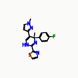 Cn1ccc(C2=CNC(c3nccs3)=NC2(C)c2ccc(F)cc2)n1